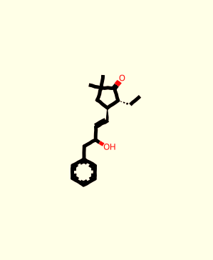 CC[C@H]1C(=O)C(C)(C)C[C@@H]1/C=C/C(O)Cc1ccccc1